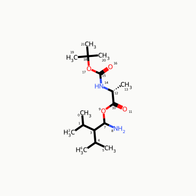 CC(C)C(C(C)C)C(N)OC(=O)[C@@H](C)NC(=O)OC(C)(C)C